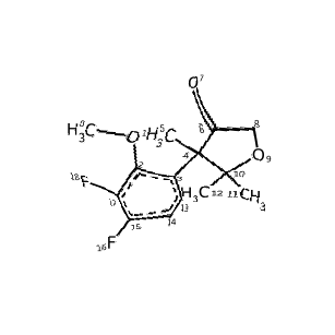 COc1c(C2(C)C(=O)COC2(C)C)ccc(F)c1F